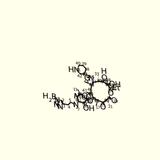 Bn1cc(CCN(C)[C@H]2C[C@@H](C)O[C@H](O[C@@H]3[C@H](C)C(=O)[C@@H](C)C(=O)O[C@H](CC)[C@@](C)(O)[C@H](O)[C@@H](C)/C(=N/O[C@@H]4CCCNC4)[C@H](C)C[C@@]3(C)OC)[C@@H]2O)nn1